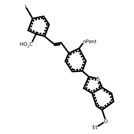 CCCCCc1cc(-c2cc3cc(OCC)ccc3s2)ccc1C=Cc1ccc(I)cc1C(=O)O